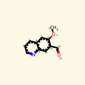 COc1cc2cccnc2cc1C=O